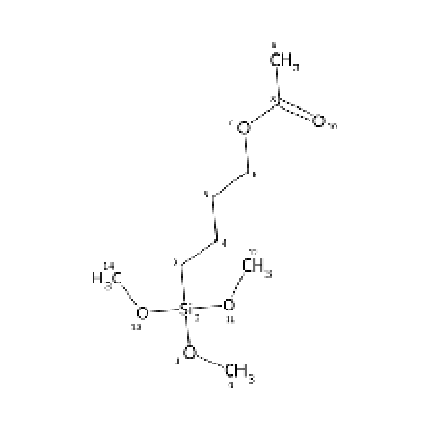 CO[Si](CCCCOC(C)=O)(OC)OC